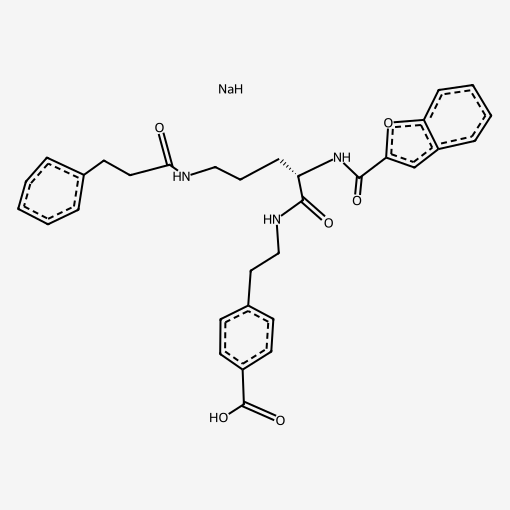 O=C(CCc1ccccc1)NCCC[C@H](NC(=O)c1cc2ccccc2o1)C(=O)NCCc1ccc(C(=O)O)cc1.[NaH]